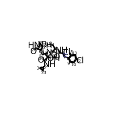 CC(C)(C)CC(NC(=O)/C=C/c1ccc(Cl)cc1Cl)C(=O)NC(C[C@@H]1CCNC1=O)C(O)C(=O)NC1CC1